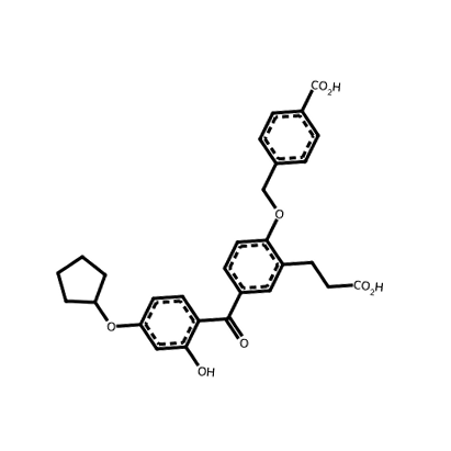 O=C(O)CCc1cc(C(=O)c2ccc(OC3CCCC3)cc2O)ccc1OCc1ccc(C(=O)O)cc1